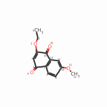 CCOC1=CC(=O)c2ccc(OC)cc2C1=O